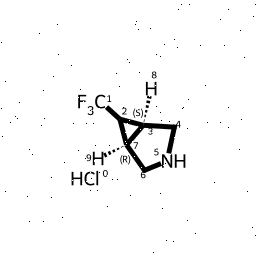 Cl.FC(F)(F)C1[C@H]2CNC[C@@H]12